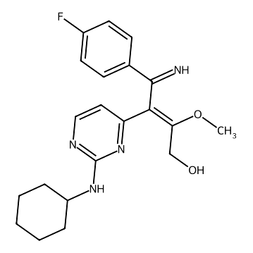 CO/C(CO)=C(\C(=N)c1ccc(F)cc1)c1ccnc(NC2CCCCC2)n1